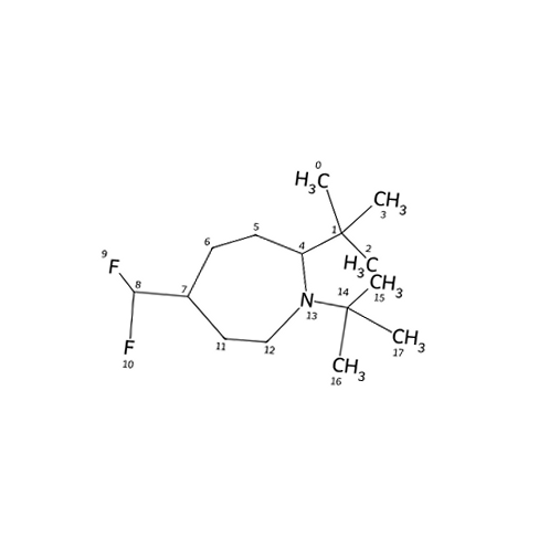 CC(C)(C)C1CCC(C(F)F)CCN1C(C)(C)C